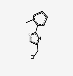 Cc1ccccc1-c1nc(CCl)co1